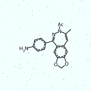 CC(=O)N1N=C(c2ccc(N)cc2)c2cc3c(cc2C=C1C)OCO3